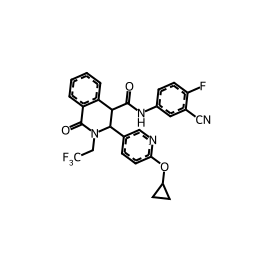 N#Cc1cc(NC(=O)C2c3ccccc3C(=O)N(CC(F)(F)F)C2c2ccc(OC3CC3)nc2)ccc1F